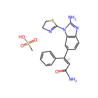 CS(=O)(=O)O.NC(=O)/C=C(\c1ccccc1)c1ccc2nc(N)n(C3=NCCS3)c2c1